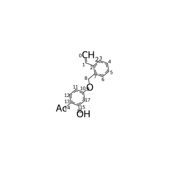 C=Cc1ccccc1COc1ccc(C(C)=O)c(O)c1